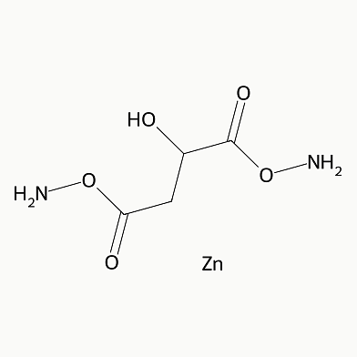 NOC(=O)CC(O)C(=O)ON.[Zn]